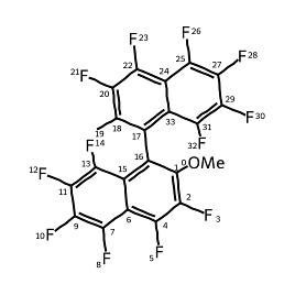 COc1c(F)c(F)c2c(F)c(F)c(F)c(F)c2c1-c1c(C)c(F)c(F)c2c(F)c(F)c(F)c(F)c12